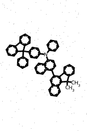 CC1(C)c2ccccc2-c2c(-c3ccc(N(c4ccccc4)c4ccc(C5(c6ccccc6)c6ccccc6-c6ccccc65)cc4)c4ccccc34)cc3ccccc3c21